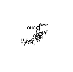 COc1ccc(CNC[C@@]2(c3ccc(OC(F)F)cc3)NC(=O)N(COCC[Si](C)(C)C)C2=O)c(C=O)c1